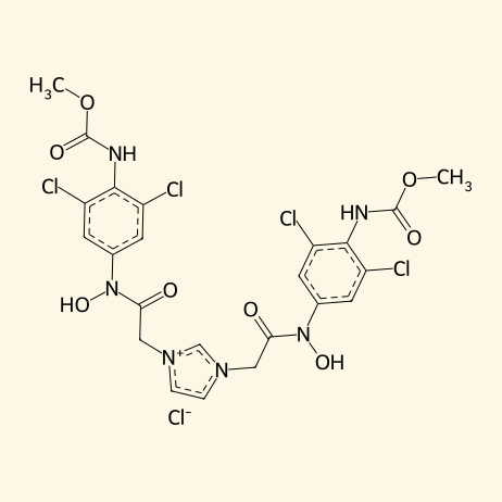 COC(=O)Nc1c(Cl)cc(N(O)C(=O)Cn2cc[n+](CC(=O)N(O)c3cc(Cl)c(NC(=O)OC)c(Cl)c3)c2)cc1Cl.[Cl-]